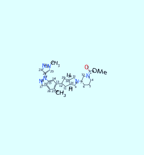 COC(=O)N1CCCC(N2C[C@H]3CC(c4cc5c(cnn5-c5cnn(C)c5)cc4C)C[C@H]3C2)C1